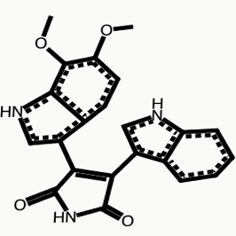 COc1ccc2c(C3=C(c4c[nH]c5ccccc45)C(=O)NC3=O)c[nH]c2c1OC